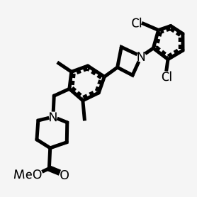 COC(=O)C1CCN(Cc2c(C)cc(C3CN(c4c(Cl)cccc4Cl)C3)cc2C)CC1